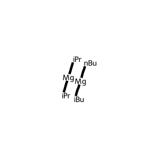 CCC[CH2][Mg][CH](C)CC.C[CH](C)[Mg][CH](C)C